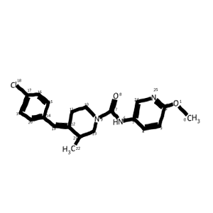 COc1ccc(NC(=O)N2CCC(=Cc3ccc(Cl)cc3)C(C)C2)cn1